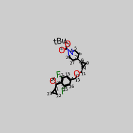 CC(C)(C)OC(=O)N1CCC([C@H]2C[C@H]2COCc2cc(F)c(C(=O)C3CC3)c(F)c2)CC1